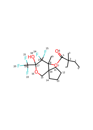 CCC(C)(C)C(=O)OC1(C)C2(CCCC2)COC(O)(C(F)(F)F)C1(F)F